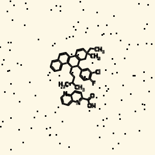 CCC1(C)C=CC2=C(C1)C(c1ccc(F)c(Cl)c1)C(CCC(C)C)c1c2ccc2ccccc12.O=C(O)c1ccc2ncccc2n1